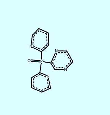 O=P(c1ccccn1)(c1ccccn1)c1cnccn1